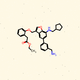 CCOC(=O)Cc1ccccc1OCc1coc2c(NCC3CCCC3)cc(-c3cccc(CN)c3)cc12